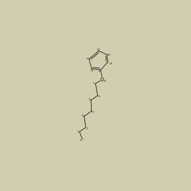 [CH2]CCCCCCCOc1ccccc1